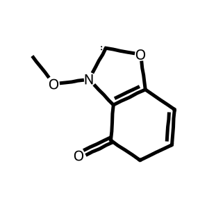 CON1[C]OC2=C1C(=O)CC=C2